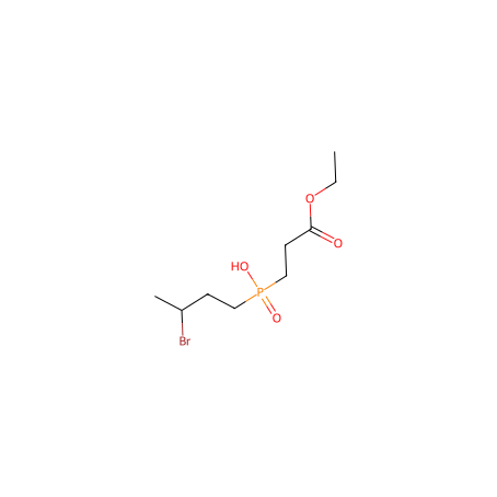 CCOC(=O)CCP(=O)(O)CCC(C)Br